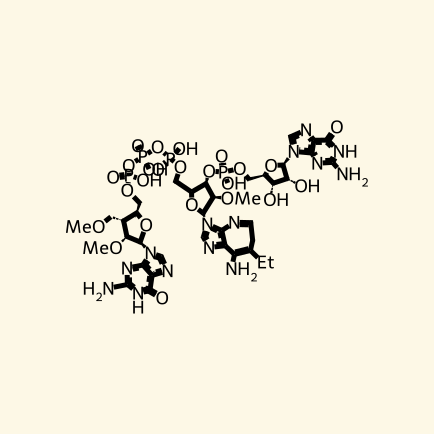 CCC1=C(N)c2ncn([C@@H]3OC(COP(=O)(O)OP(=O)(O)OP(=O)(O)OC[C@H]4O[C@@H](n5cnc6c(=O)[nH]c(N)nc65)[C@H](OC)[C@@H]4COC)[C@@H](OP(=O)(O)OC[C@H]4O[C@@H](n5cnc6c(=O)[nH]c(N)nc65)[C@H](O)[C@@H]4O)[C@H]3OC)c2N=CC1